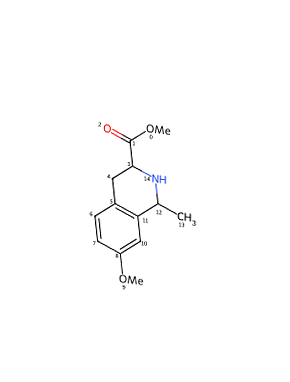 COC(=O)C1Cc2ccc(OC)cc2C(C)N1